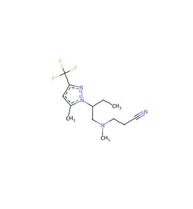 CCC(CN(C)CCC#N)n1nc(C(F)(F)F)cc1C